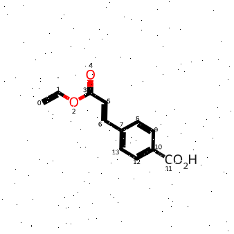 C=COC(=O)C=Cc1ccc(C(=O)O)cc1